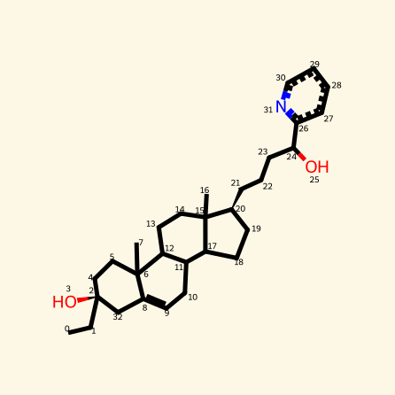 CC[C@]1(O)CCC2(C)C(=CCC3C2CCC2(C)C3CC[C@@H]2CCCC(O)c2ccccn2)C1